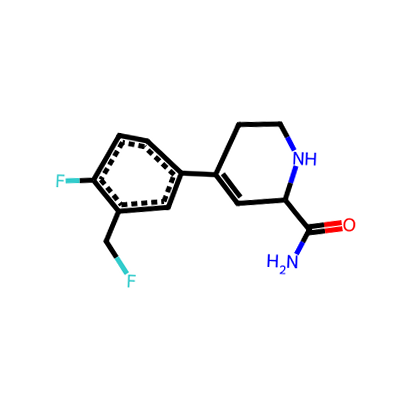 NC(=O)C1C=C(c2ccc(F)c(CF)c2)CCN1